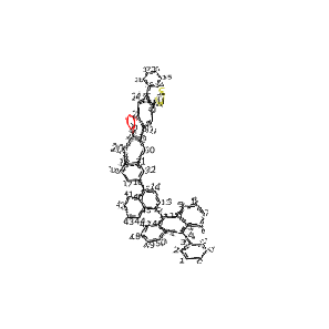 c1ccc(-c2c3ccccc3c(-c3ccc(-c4ccc5cc6oc7cc8c(cc7c6cc5c4)sc4ccccc48)c4ccccc34)c3ccccc23)cc1